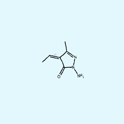 C/C=C1\C(=O)N(N)N=C1C